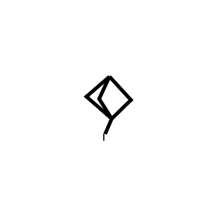 IC12CC(C1)C2